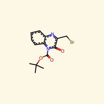 CC(C)(C)OC(=O)n1c(=O)c(CBr)nc2ccccc21